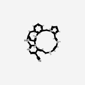 N#CC1=CN=C2NC3=CC4=Nc5c(cccc5Cn5cccc5/C=N/C=C\OC/C=C\1N42)C3